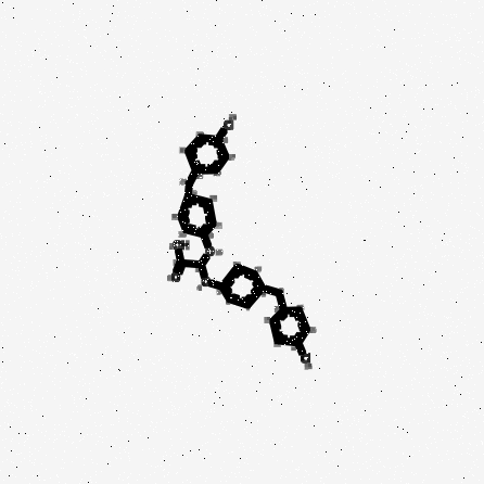 O=C(O)C(Oc1ccc(Cc2ccc(Cl)cc2)cc1)Oc1ccc(Cc2ccc(Cl)cc2)cc1